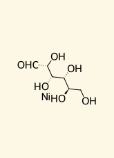 O=C[C@H](O)[C@@H](O)[C@H](O)[C@H](O)CO.[Ni]